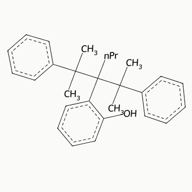 CCCC(c1ccccc1O)(C(C)(C)c1ccccc1)C(C)(C)c1ccccc1